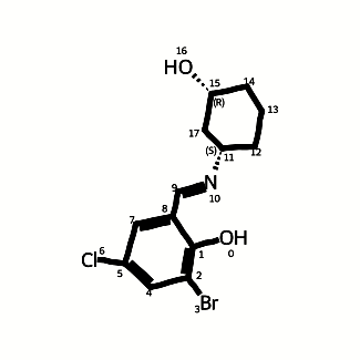 Oc1c(Br)cc(Cl)cc1C=N[C@H]1CCC[C@@H](O)C1